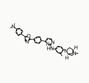 Cc1cc(Nc2nccc(-c3ccc(-c4ncc(-c5ccc(N(C)C)cc5)o4)cc3)n2)ccc1N1C[C@@H]2C[C@H]1CN2C